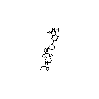 CCC(=O)N1CCC2(CC1)C[C@@]2(C(=O)O)c1ccc(-c2ccc3c(c2)N(C)NC3)cc1